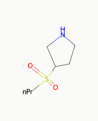 [CH2]CCS(=O)(=O)C1CCNC1